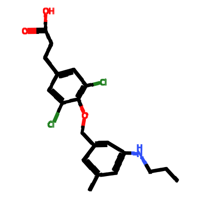 CCCNc1cc(C)cc(COc2c(Cl)cc(CCC(=O)O)cc2Cl)c1